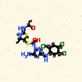 CC(=O)Nc1nc(C)c(SN(O)n2nc(Nc3cc(Cl)c(Cl)cc3Cl)nc2N)s1